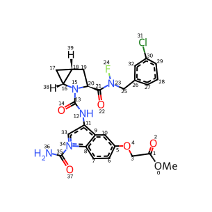 COC(=O)COc1ccc2c(c1)c(NC(=O)N1[C@@H]3C[C@@H]3C[C@H]1C(=O)N(F)Cc1cccc(Cl)c1)cn2C(N)=O